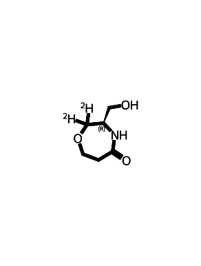 [2H]C1([2H])OCCC(=O)N[C@@H]1CO